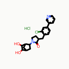 Cl.O=C1C(Cc2ccc(-c3cccnc3)cc2Cl)CCN1C1CC2CC1C(O)C2O